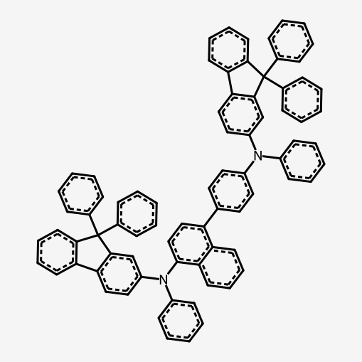 c1ccc(N(c2ccc(-c3ccc(N(c4ccccc4)c4ccc5c(c4)C(c4ccccc4)(c4ccccc4)c4ccccc4-5)c4ccccc34)cc2)c2ccc3c(c2)C(c2ccccc2)(c2ccccc2)c2ccccc2-3)cc1